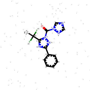 O=C(n1cncn1)n1nc(-c2ccccc2)nc1C(F)(F)C(F)(F)F